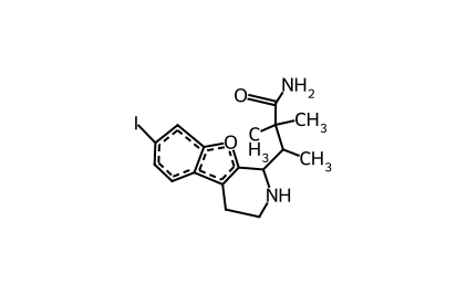 CC(C1NCCc2c1oc1cc(I)ccc21)C(C)(C)C(N)=O